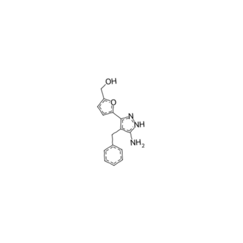 Nc1[nH]nc(-c2ccc(CO)o2)c1Cc1ccccc1